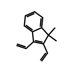 C=CC1=C(C=C)C(C)(C)c2ccccc21